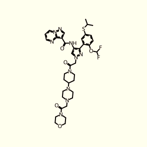 CC(C)Sc1ccc(OC(F)F)c(-c2nn(CC(=O)N3CCC(N4CCN(CC(=O)N5CCOCC5)CC4)CC3)cc2NC(=O)c2cnn3cccnc23)c1